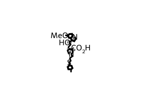 COc1ccc2nccc([C@@H](O)CC[C@@H]3CCN(CCCSc4ccc(C)cc4)C[C@@H]3C(=O)O)c2c1